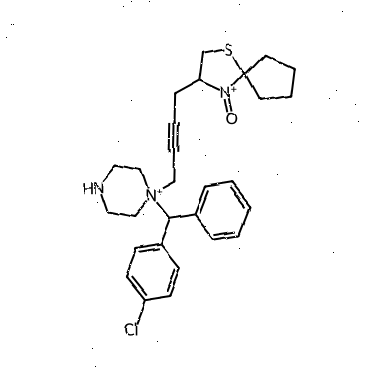 O=[N+]1C(CC#CC[N+]2(C(c3ccccc3)c3ccc(Cl)cc3)CCNCC2)CSC12CCCC2